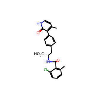 Cc1cccc(Cl)c1C(=O)N[C@@H](Cc1ccc(-c2c(C)cc[nH]c2=O)cc1)C(=O)O